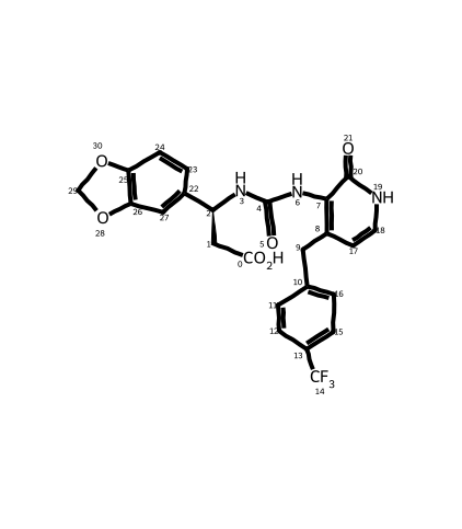 O=C(O)C[C@H](NC(=O)Nc1c(Cc2ccc(C(F)(F)F)cc2)cc[nH]c1=O)c1ccc2c(c1)OCO2